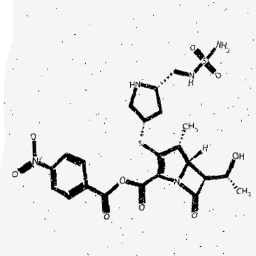 C[C@@H](O)[C@H]1C(=O)N2C(C(=O)OC(=O)c3ccc([N+](=O)[O-])cc3)=C(S[C@@H]3CN[C@H](CNS(N)(=O)=O)C3)[C@H](C)[C@H]12